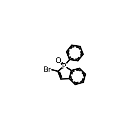 O=P1(c2ccccc2)C(Br)=Cc2ccccc21